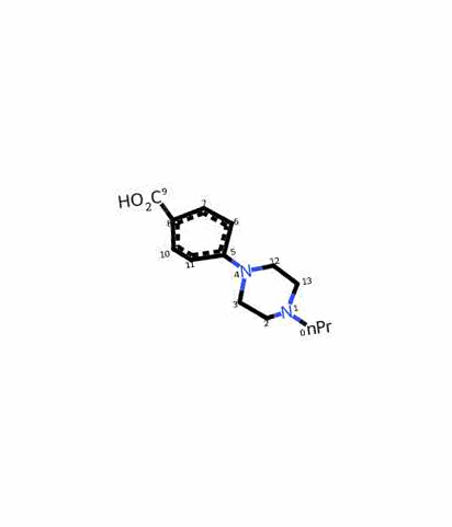 CCCN1CCN(c2ccc(C(=O)O)cc2)CC1